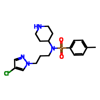 Cc1ccc(S(=O)(=O)N(CCCn2cc(Cl)cn2)C2CCNCC2)cc1